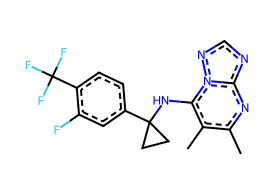 Cc1nc2ncnn2c(NC2(c3ccc(C(F)(F)F)c(F)c3)CC2)c1C